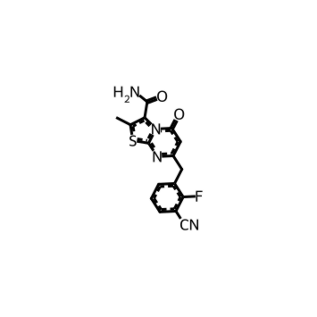 Cc1sc2nc(Cc3cccc(C#N)c3F)cc(=O)n2c1C(N)=O